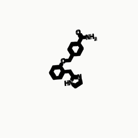 NC(=O)c1ccc(COc2ccccc2Cc2ncc[nH]2)cc1